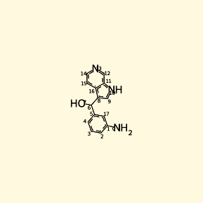 Nc1cccc(C(O)c2c[nH]c3cnccc23)c1